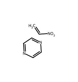 C=C[N+](=O)[O-].c1cnccn1